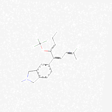 CC/C=C(OC(F)(F)F)/C(=C\C=C(/C)Cl)c1ccc2c(c1)CN(C)C2